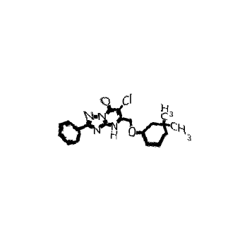 CC1(C)CCCC(OCc2[nH]c3nc(-c4ccccc4)nn3c(=O)c2Cl)C1